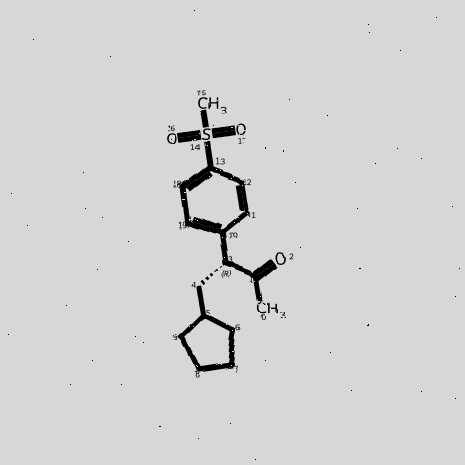 CC(=O)[C@H](CC1CCCC1)c1ccc(S(C)(=O)=O)cc1